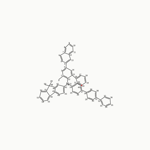 Cc1cc(-c2ccc3ccccc3c2)cc(-c2ccccc2)c1N(c1ccc(-c2ccc(-c3ccccc3)cc2)cc1)c1ccc2c(c1)C(C)(C)c1ccccc1-2